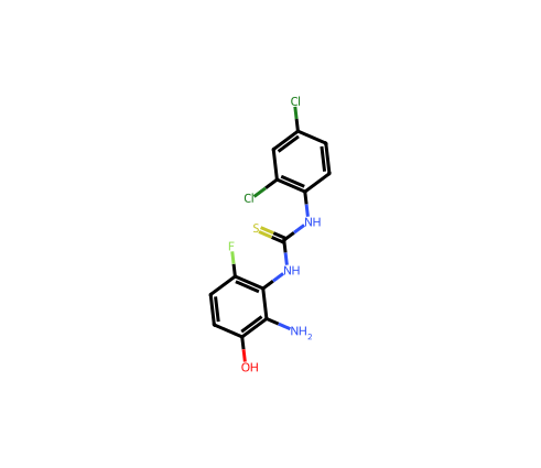 Nc1c(O)ccc(F)c1NC(=S)Nc1ccc(Cl)cc1Cl